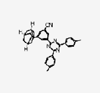 Cc1ccc(-c2nc(-c3ccc(C)cc3)nc(-c3cc(C#N)cc(C45C[C@H]6C[C@H](C4)C[C@@H](C5)C6)c3)n2)cc1